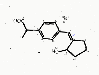 CC(C(=O)[O-])c1ccc(/C=C2/CCCC2O)cc1.[Na+]